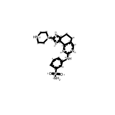 NS(=O)(=O)c1cccc(Nc2ncc3c(n2)-c2sc(N4CCNCC4)nc2CC3)c1